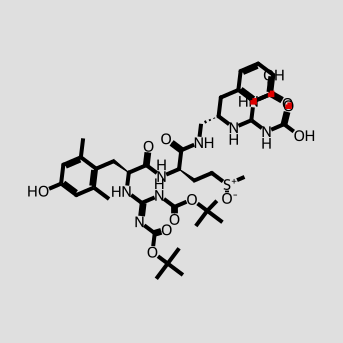 Cc1cc(O)cc(C)c1C[C@H](N/C(=N/C(=O)OC(C)(C)C)NC(=O)OC(C)(C)C)C(=O)N[C@H](CC[S+](C)[O-])C(=O)NC[C@H](Cc1ccccc1)NC(NC(=O)O)NC(=O)O